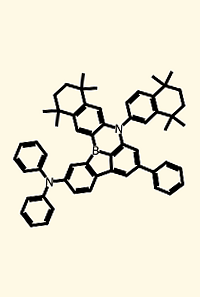 CC1(C)CCC(C)(C)c2cc(N3c4cc5c(cc4B4c6cc(N(c7ccccc7)c7ccccc7)ccc6-c6cc(-c7ccccc7)cc3c64)C(C)(C)CCC5(C)C)ccc21